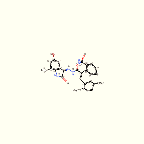 COc1ccc(OC)c(C=C(C(=O)NN=C2C(=O)Nc3c(C)cc(Br)cc32)c2ccccc2C(N)=O)c1